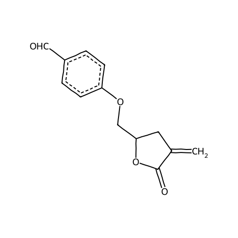 C=C1CC(COc2ccc(C=O)cc2)OC1=O